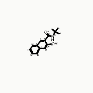 CC(C)(C)NC(=O)c1cc2ccccc2cc1O